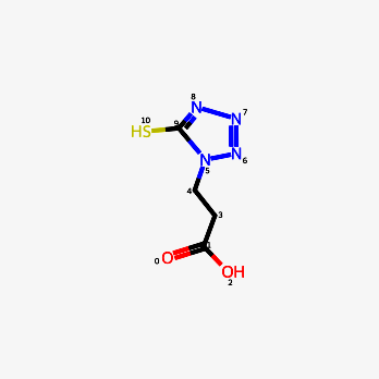 O=C(O)CCn1nnnc1S